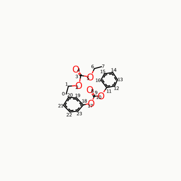 CCOC(=O)OCC.O=C(Oc1ccccc1)Oc1ccccc1